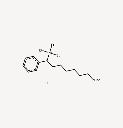 CCCCCCCCCCCCCCCCC(c1ccccc1)[N+](CC)(CC)CC.[Cl-]